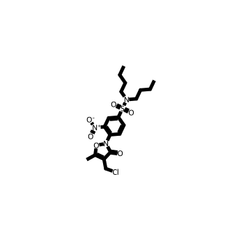 CCCCN(CCCC)S(=O)(=O)c1ccc(-n2oc(C)c(CCl)c2=O)c([N+](=O)[O-])c1